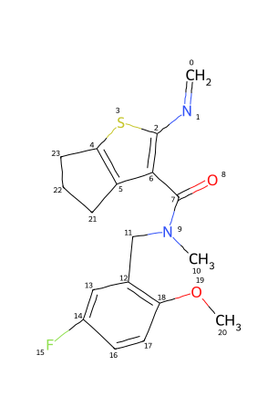 C=Nc1sc2c(c1C(=O)N(C)Cc1cc(F)ccc1OC)CCC2